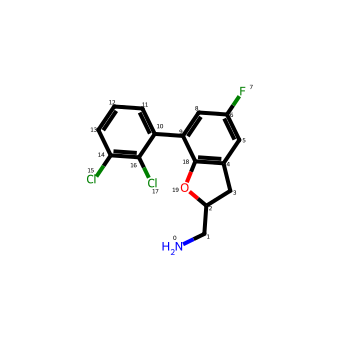 NCC1Cc2cc(F)cc(-c3cccc(Cl)c3Cl)c2O1